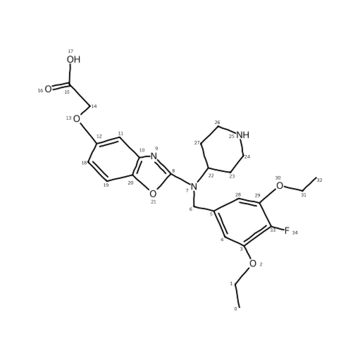 CCOc1cc(CN(c2nc3cc(OCC(=O)O)ccc3o2)C2CCNCC2)cc(OCC)c1F